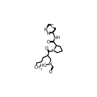 CCCCC(CN(O)C=O)C(=O)N1CCCC1C(=O)Nc1cccnn1